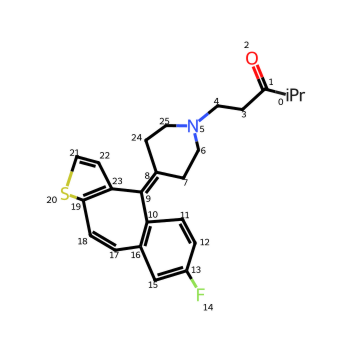 CC(C)C(=O)CCN1CCC(=C2c3ccc(F)cc3C=Cc3sccc32)CC1